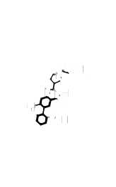 C=CC(=O)N1CCC(c2nc3cc(Cl)c(-c4c(F)cccc4OC)cc3c(=O)[nH]2)C1